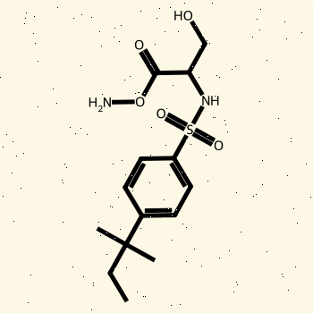 CCC(C)(C)c1ccc(S(=O)(=O)NC(CO)C(=O)ON)cc1